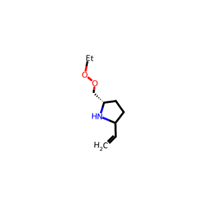 C=CC1CC[C@@H](COOCC)N1